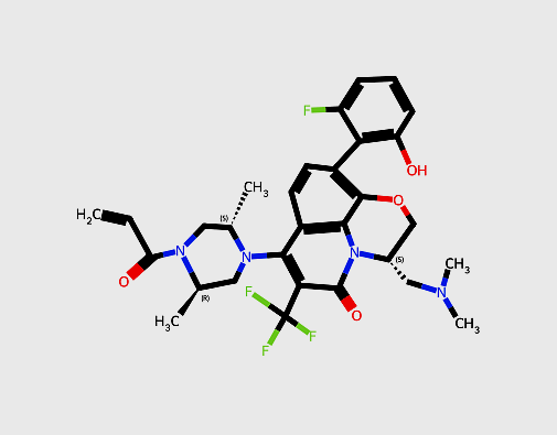 C=CC(=O)N1C[C@H](C)N(c2c(C(F)(F)F)c(=O)n3c4c(c(-c5c(O)cccc5F)ccc24)OC[C@@H]3CN(C)C)C[C@H]1C